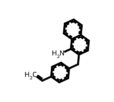 C=Cc1ccc(Cc2ccc3ccccc3c2N)cc1